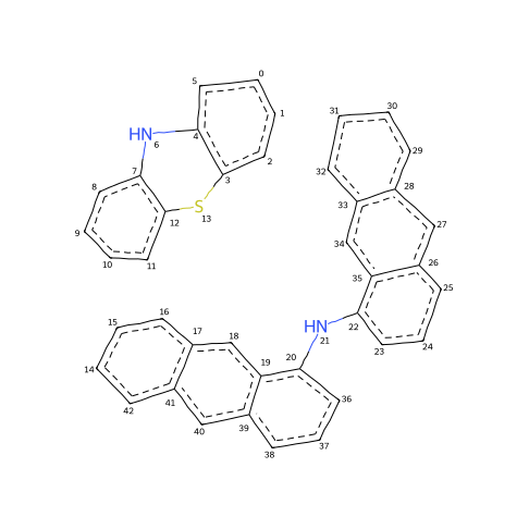 c1ccc2c(c1)Nc1ccccc1S2.c1ccc2cc3c(Nc4cccc5cc6ccccc6cc45)cccc3cc2c1